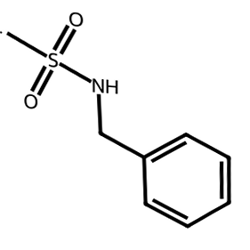 [CH2]S(=O)(=O)NCc1ccccc1